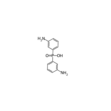 Nc1cccc(P(=O)(O)c2cccc(N)c2)c1